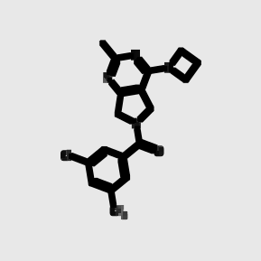 Cc1nc2c(c(N3CCC3)n1)CN(C(=O)c1cc(Cl)cc(C(F)(F)F)c1)C2